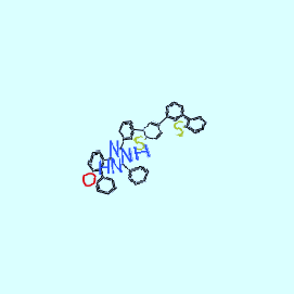 C1=CC2Sc3c(C4=NC(c5cccc6oc7ccccc7c56)NC(c5ccccc5)N4)cccc3C2C=C1c1cccc2c1sc1ccccc12